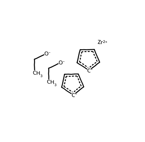 CC[O-].CC[O-].[Zr+2].c1cc[cH-]c1.c1cc[cH-]c1